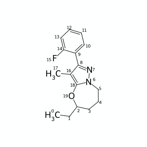 CCC1CCCn2nc(-c3ccccc3F)c(C)c2O1